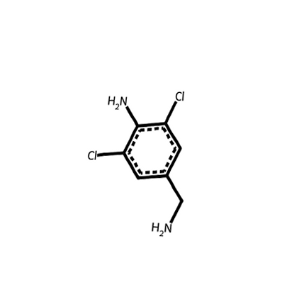 NCc1cc(Cl)c(N)c(Cl)c1